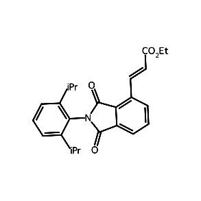 CCOC(=O)/C=C/c1cccc2c1C(=O)N(c1c(C(C)C)cccc1C(C)C)C2=O